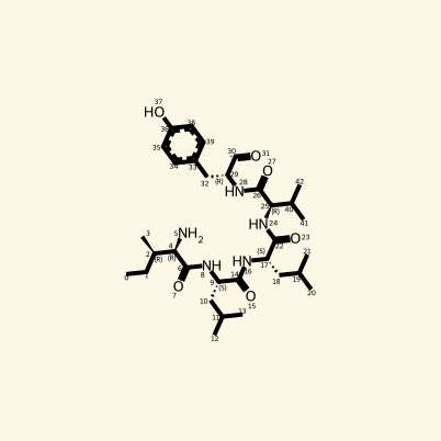 CC[C@@H](C)[C@@H](N)C(=O)N[C@@H](CC(C)C)C(=O)N[C@@H](CC(C)C)C(=O)N[C@@H](C(=O)N[C@@H]([C]=O)Cc1ccc(O)cc1)C(C)C